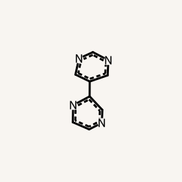 c1cnc(-c2cncnc2)cn1